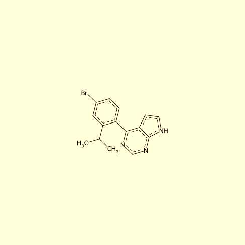 CC(C)c1cc(Br)ccc1-c1ncnc2[nH]ccc12